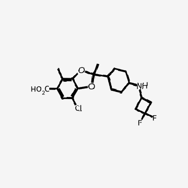 Cc1c(C(=O)O)cc(Cl)c2c1OC(C)(C1CCC(NC3CC(F)(F)C3)CC1)O2